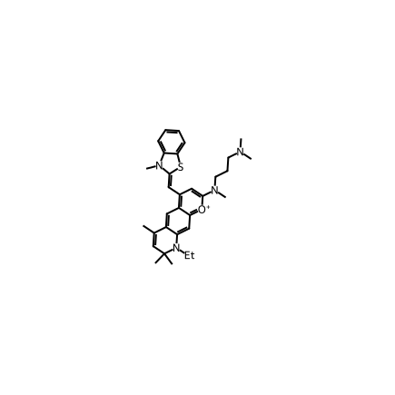 CCN1c2cc3[o+]c(N(C)CCCN(C)C)cc(/C=C4\Sc5ccccc5N4C)c3cc2C(C)=CC1(C)C